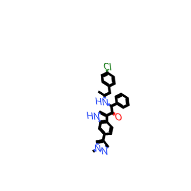 CC(Cc1ccc(Cl)cc1)NC(C(=O)c1c[nH]c2cc(-c3cnn(C)c3)ccc12)c1ccccc1